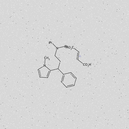 CC(C)N(CCC(c1ccccc1)c1cccn1C)C(C)C.O=C(O)/C=C/C(=O)O